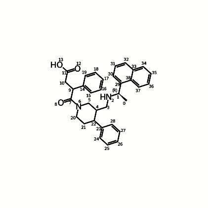 C[C@@H](NCC1CN(C(=O)C(CC(=O)O)c2ccccc2)CCC1c1ccccc1)c1cccc2ccccc12